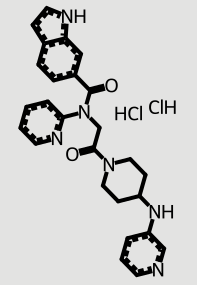 Cl.Cl.O=C(CN(C(=O)c1ccc2cc[nH]c2c1)c1ccccn1)N1CCC(Nc2cccnc2)CC1